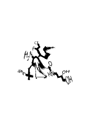 C=C/C=C\C(=C(\F)CCl)[C@@H]1C(N)[C@H](CC(C)(C)C(C)C)N[C@H]1C(=O)NCC[C@H](O)CO